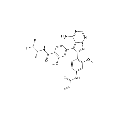 C=CC(=O)Nc1ccc(-c2nn3ncnc(N)c3c2-c2ccc(C(=O)NC(F)C(F)F)c(OC)c2)c(OC)c1